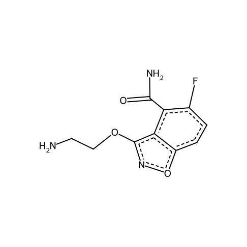 NCCOc1noc2ccc(F)c(C(N)=O)c12